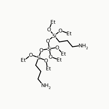 CCO[Si](CCCN)(OCC)O[Si](OCC)(OCC)O[Si](CCCN)(OCC)OCC